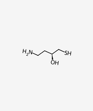 NCC[C@H](O)CS